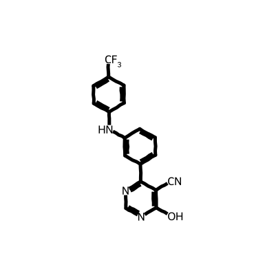 N#Cc1c(O)ncnc1-c1cccc(Nc2ccc(C(F)(F)F)cc2)c1